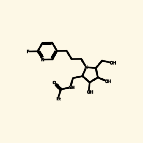 CCC(=O)NCC1C(O)C(O)C(CO)N1CCCc1ccc(F)nc1